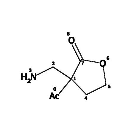 CC(=O)C1(CN)CCOC1=O